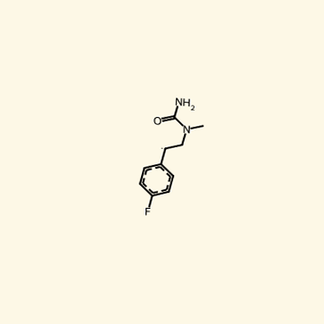 CN(C[CH]c1ccc(F)cc1)C(N)=O